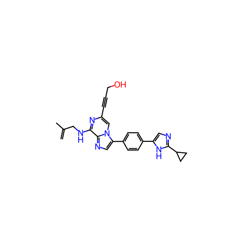 C=C(C)CNc1nc(C#CCO)cn2c(-c3ccc(-c4cnc(C5CC5)[nH]4)cc3)cnc12